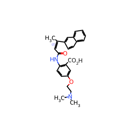 C/C(=C/C(=O)Nc1ccc(OCCN(C)C)cc1C(=O)O)c1ccc2ccccc2c1